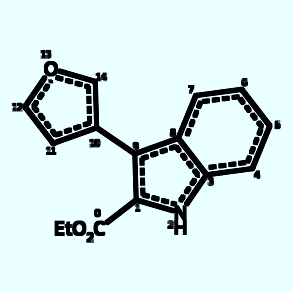 CCOC(=O)c1[nH]c2ccccc2c1-c1ccoc1